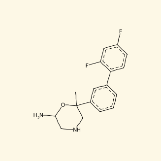 CC1(c2cccc(-c3ccc(F)cc3F)c2)CNCC(N)O1